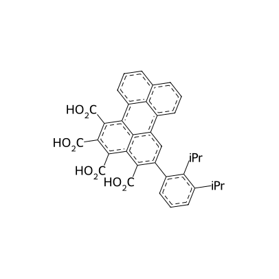 CC(C)c1cccc(-c2cc3c4cccc5cccc(c6c(C(=O)O)c(C(=O)O)c(C(=O)O)c(c2C(=O)O)c36)c54)c1C(C)C